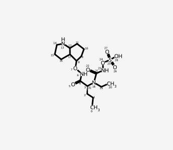 CCC[C@@H](C(=O)NOC1CCCC2NCCCC21)N(CC)C(=O)NOS(=O)(=O)O